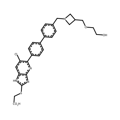 O=C(O)CSc1nc2nc(-c3ccc(-c4ccc(CN5CC(COCCO)C5)cc4)cc3)c(Cl)cc2[nH]1